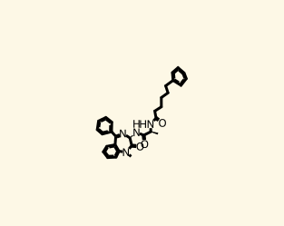 C[C@H](NC(=O)CCCCCc1ccccc1)C(=O)N[C@H]1N=C(c2ccccc2)c2ccccc2N(C)C1=O